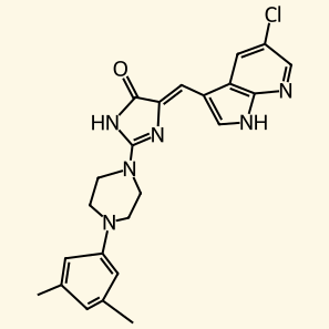 Cc1cc(C)cc(N2CCN(C3=N/C(=C\c4c[nH]c5ncc(Cl)cc45)C(=O)N3)CC2)c1